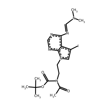 CC(=O)N(CCn1cc(I)c2c(/N=C/N(C)C)ncnc21)C(=O)OC(C)(C)C